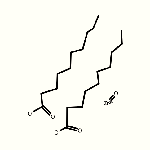 CCCCCCCCCC(=O)[O-].CCCCCCCCCC(=O)[O-].[O]=[Zr+2]